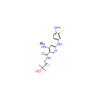 CCC(C)Nc1cc(Nc2ccc3ncsc3c2)ncc1C(=O)NC[C@@H](F)C(C)(C)O